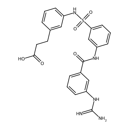 N=C(N)Nc1cccc(C(=O)Nc2cccc(S(=O)(=O)Nc3cccc(CCC(=O)O)c3)c2)c1